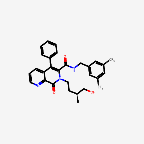 C[C@H](CO)CCn1c(C(=O)NCc2cc(C(F)(F)F)cc(C(F)(F)F)c2)c(-c2ccccc2)c2cccnc2c1=O